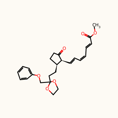 COC(=O)C=C/C=C\C=C[C@@H]1C(=O)CC[C@@H]1CCC1(COc2ccccc2)OCCO1